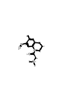 Cc1cc2c(cc1N=O)N(C(=O)CN(C)C)CCC2